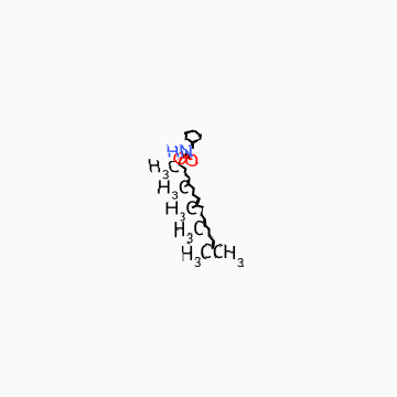 CC(C)=CCC/C(C)=C/CC/C(C)=C/CC/C(C)=C/CCC(C)OC(=O)NCC1CCCCC1